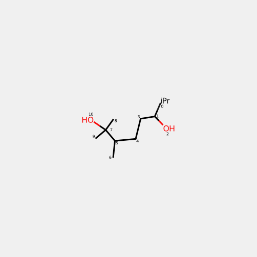 CC(C)C(O)CCC(C)C(C)(C)O